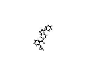 C=Cc1ccccc1C(=O)N1CCn2c(nnc2-c2cnccn2)C1